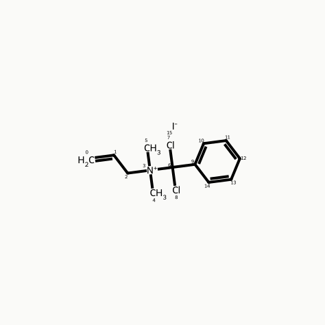 C=CC[N+](C)(C)C(Cl)(Cl)c1ccccc1.[I-]